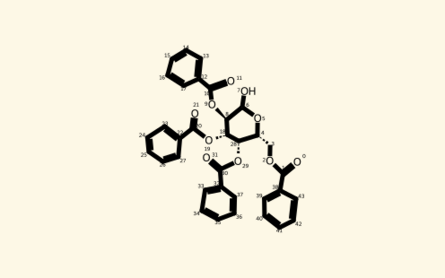 O=C(OC[C@H]1OC(O)[C@H](OC(=O)c2ccccc2)[C@@H](OC(=O)c2ccccc2)[C@H]1OC(=O)c1ccccc1)c1ccccc1